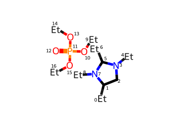 CCC1CN(CC)C(CC)N1CC.CCOP(=O)(OCC)OCC